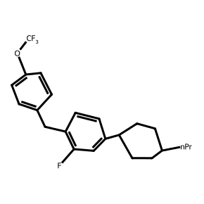 CCCC1CCC(c2ccc(Cc3ccc(OC(F)(F)F)cc3)c(F)c2)CC1